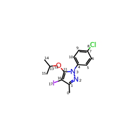 Cc1nn(-c2ccc(Cl)cc2)c(OC(C)C)c1I